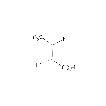 CC(F)C(F)C(=O)O